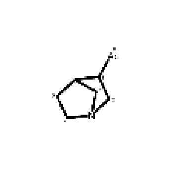 CC(=O)C1CN2CCC1C2